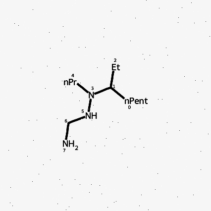 [CH2]CCCCC(CC)N(CCC)NCN